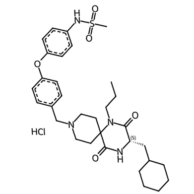 CCCN1C(=O)[C@H](CC2CCCCC2)NC(=O)C12CCN(Cc1ccc(Oc3ccc(NS(C)(=O)=O)cc3)cc1)CC2.Cl